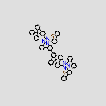 c1ccc(-c2ccccc2-c2nc(-c3cccc4c3-c3ccccc3C43c4ccccc4-c4cc(-c5cccc(-c6ccccc6-c6nc(-c7ccc8c(c7)C(c7ccccc7)(c7ccccc7)c7ccccc7-8)nc(-c7cccc8c7sc7ccccc78)n6)c5)ccc43)nc(-c3cccc4c3sc3ccccc34)n2)cc1